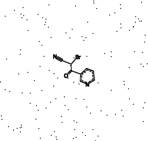 N#CC(Br)C(=O)c1cccnc1